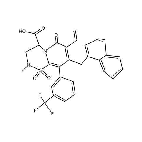 C=Cc1c(Cc2cccc3ccccc23)c(-c2cccc(C(F)(F)F)c2)c2n(c1=O)C(C(=O)O)CN(C)S2(=O)=O